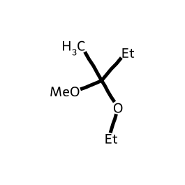 [CH2]CC(C)(OC)OCC